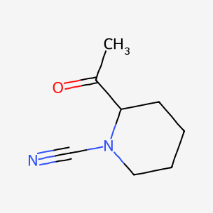 CC(=O)C1CCCCN1C#N